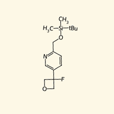 CC(C)(C)[Si](C)(C)OCc1ccc(C2(F)COC2)cn1